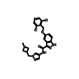 CN1CC(Cn2cc(NC(=O)c3n[nH]c4ccc(OCc5c(Cl)cncc5Cl)cc34)cn2)C1